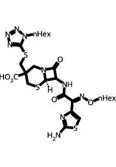 CCCCCCON=C(C(=O)NC1C(=O)N2CC(CSc3nnnn3CCCCCC)(C(=O)O)CS[C@H]12)c1csc(N)n1